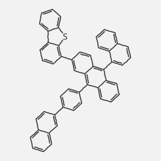 c1ccc2cc(-c3ccc(-c4c5ccccc5c(-c5cccc6ccccc56)c5ccc(-c6cccc7c6sc6ccccc67)cc45)cc3)ccc2c1